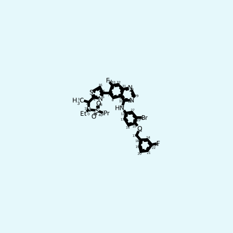 CCN(C(C)c1nc(-c2cc3c(Nc4ccc(OCc5cccc(F)c5)c(Br)c4)ncnc3cc2F)cs1)S(=O)(=O)C(C)C